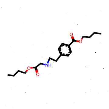 CCCCOC(=O)CNCCc1ccc(C(=O)OCCCC)cc1